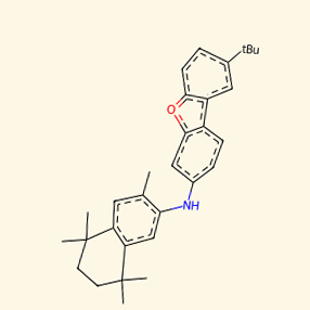 Cc1cc2c(cc1Nc1ccc3c(c1)oc1ccc(C(C)(C)C)cc13)C(C)(C)CCC2(C)C